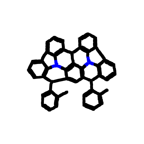 Cc1ccccc1B1c2cc3c4c5c2-n2c6c1cccc6c1cccc(c12)B5c1cccc2c5cccc(c5n-4c12)B3c1ccccc1C